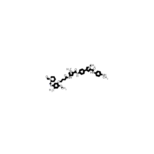 CNc1ccc(NC(=O)c2cc(-c3ccc(NC(=O)c4cc(NC(=O)CCCOc5cc(/N=C\[C@@H]6CCCCN6C=O)c(C)cc5OC)cn4C)cc3)cn2C)cc1